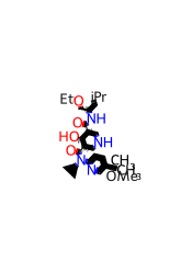 CCOC[C@@H](CC(C)C)NC(=O)[C@@H]1CNC[C@H](C(=O)N(c2ccc(C(C)(C)OC)cn2)C2CC2)[C@@H]1O